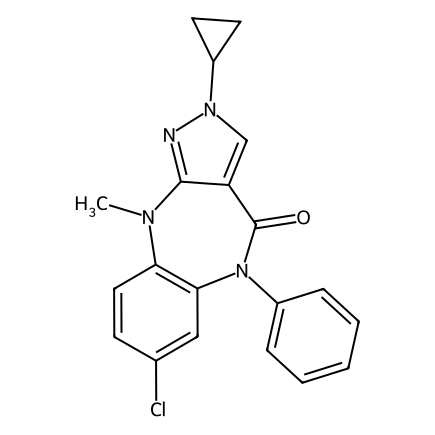 CN1c2ccc(Cl)cc2N(c2ccccc2)C(=O)c2cn(C3CC3)nc21